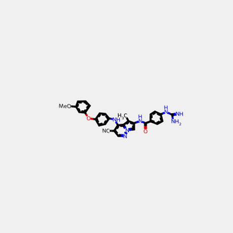 COc1cccc(Oc2ccc(Nc3c(C#N)cnn4cc(NC(=O)c5ccc(NC(=N)N)cc5)c(C)c34)cc2)c1